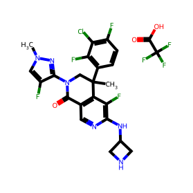 Cn1cc(F)c(N2CC(C)(c3ccc(F)c(Cl)c3F)c3c(cnc(NC4CNC4)c3F)C2=O)n1.O=C(O)C(F)(F)F